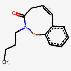 CCCCN1Sc2ccccc2/C=C\CC1=O